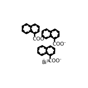 O=C([O-])c1cccc2ccccc12.O=C([O-])c1cccc2ccccc12.O=C([O-])c1cccc2ccccc12.[Bi+3]